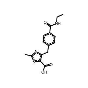 CCNC(=O)c1ccc(Cc2nc(C)sc2C(=O)O)cc1